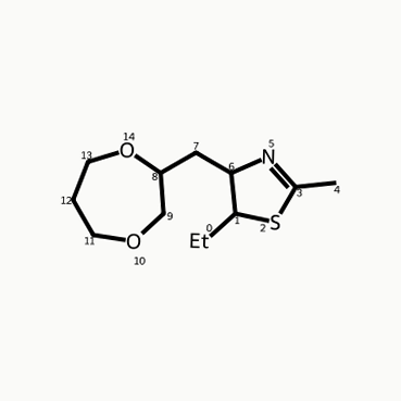 CCC1SC(C)=NC1CC1COCCCO1